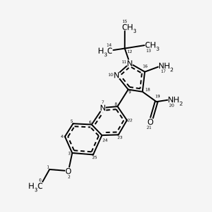 CCOc1ccc2nc(-c3nn(C(C)(C)C)c(N)c3C(N)=O)ccc2c1